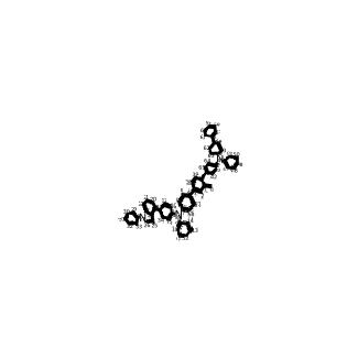 CC1C=C(c2ccc(N(c3ccccc3)c3ccc(-c4cccc5c4ccn5-c4ccccc4)cc3)cc2)C=CC1c1ccc(N(c2ccccc2)c2ccc(-c3ccccc3)cc2)cc1